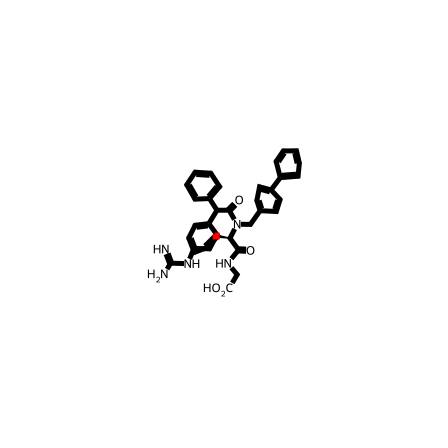 N=C(N)NCCC[C@H](C(=O)NCC(=O)O)N(Cc1ccc(-c2ccccc2)cc1)C(=O)C(c1ccccc1)c1ccccc1